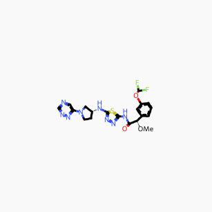 CO[C@H](C(=O)Nc1nnc(N[C@@H]2CCN(c3cncnn3)C2)s1)c1cccc(OC(F)F)c1